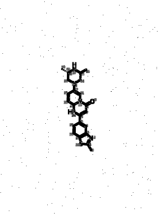 Cc1nc2cc(C3=CC(=O)N4C=C(N5CC(C)N[C@@H](C)C5)C=CC4P3)ccc2s1